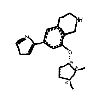 C[C@@H]1[C@@H](Oc2cc(C3=CCC=N3)cc3c2CNCC3)CC[C@@H]1C